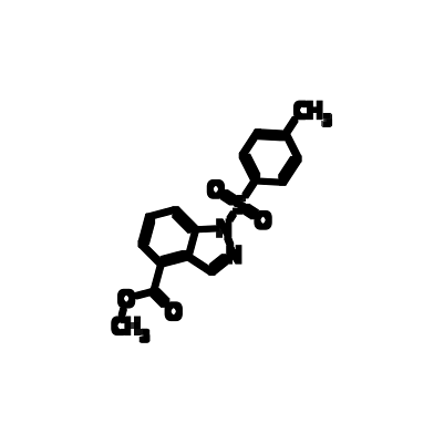 COC(=O)c1cccc2c1cnn2S(=O)(=O)c1ccc(C)cc1